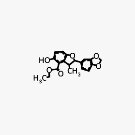 CCOC(=O)c1c(O)ccc2c1C(C)C(c1ccc3c(c1)OCO3)O2